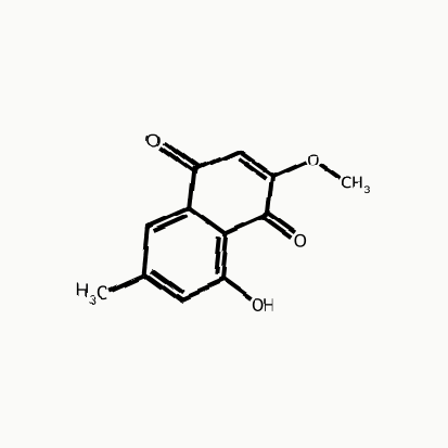 COC1=CC(=O)c2cc(C)cc(O)c2C1=O